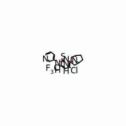 FC(F)(F)c1cnc(N2C3CCC2CC(NC(=S)Nc2cccnc2)C3)c(Cl)c1